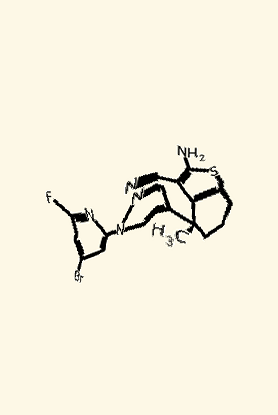 CC1(c2cnn(-c3cc(Br)cc(F)n3)c2)CCCc2sc(N)c(C#N)c21